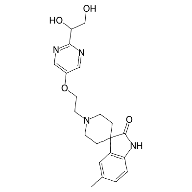 Cc1ccc2c(c1)C1(CCN(CCOc3cnc(C(O)CO)nc3)CC1)C(=O)N2